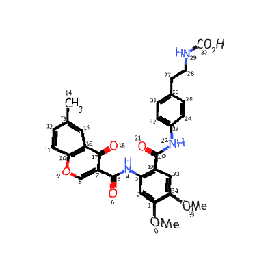 COc1cc(NC(=O)c2coc3ccc(C)cc3c2=O)c(C(=O)Nc2ccc(CCNC(=O)O)cc2)cc1OC